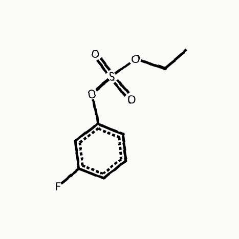 CCOS(=O)(=O)Oc1cccc(F)c1